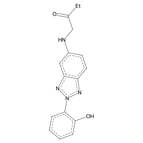 CCC(=O)CNc1ccc2nn(-c3ccccc3O)nc2c1